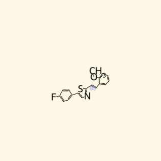 COc1ccccc1/C=C/c1ncc(-c2ccc(F)cc2)s1